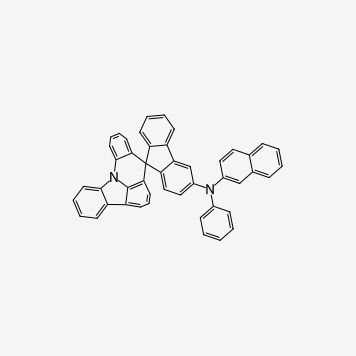 c1ccc(N(c2ccc3c(c2)-c2ccccc2C32c3ccccc3-n3c4ccccc4c4cccc2c43)c2ccc3ccccc3c2)cc1